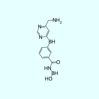 NCc1cc(Bc2cccc(C(=O)NBO)c2)ncn1